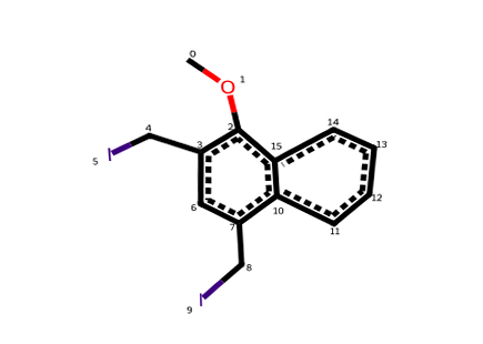 COc1c(CI)cc(CI)c2ccccc12